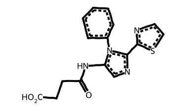 O=C(O)CCC(=O)Nc1cnc(-c2nccs2)n1-c1ccccc1